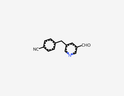 N#Cc1ccc(Cc2cncc(C=O)c2)cc1